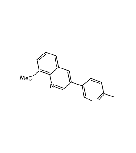 C=C(C)/C=C\C(=C/C)c1cnc2c(OC)cccc2c1